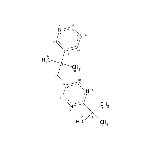 CC(C)(C)c1ncc(CC(C)(C)c2cncnc2)cn1